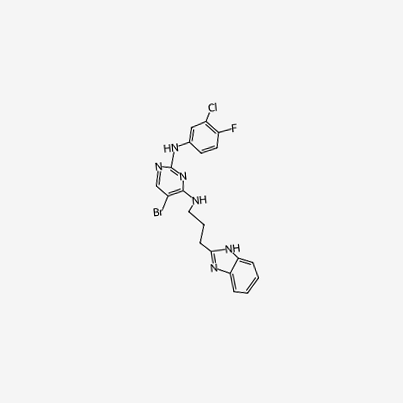 Fc1ccc(Nc2ncc(Br)c(NCCCc3nc4ccccc4[nH]3)n2)cc1Cl